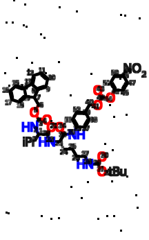 CC(C)C(NC(=O)OCC1c2ccccc2-c2ccccc21)C(=O)N[C@@H](CCCCNC(=O)OC(C)(C)C)C(=O)Nc1ccc(COC(=O)Oc2ccc([N+](=O)[O-])cc2)cc1